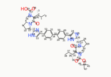 CC[C@@H](C)[C@@H](C(=O)N1CCC[C@H]1c1nc(-c2ccc(-c3ccc(-c4cnc([C@@H]5CCCN5C(=O)[C@H]([C@H](C)CC)N(C)C(=O)OC(C)(C)C)[nH]4)cc3)cc2)c[nH]1)N(C)C(=O)O